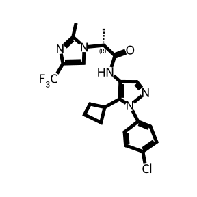 Cc1nc(C(F)(F)F)cn1[C@H](C)C(=O)Nc1cnn(-c2ccc(Cl)cc2)c1C1CCC1